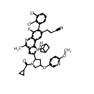 COc1ccc(OC2CC(c3cc4c(C)nc5c(F)c(-c6cccc(Cl)c6Cl)c(CCC#N)cc5c4n3C3C4CNC3C4)N(C(=O)C3CC3)C2)cn1